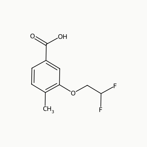 Cc1ccc(C(=O)O)cc1OCC(F)F